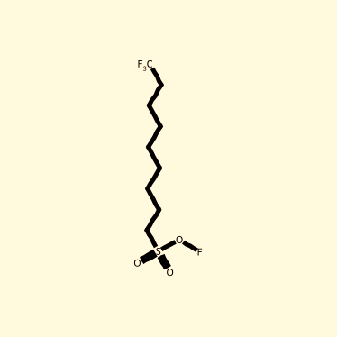 O=S(=O)(CCCCCCCCC(F)(F)F)OF